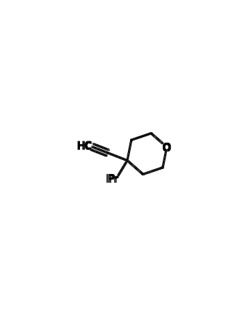 C#CC1(C(C)C)CCOCC1